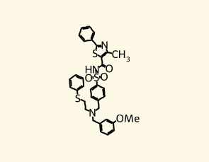 COc1cccc(CN(CCSc2ccccc2)Cc2ccc(S(=O)(=O)NC(=O)c3sc(-c4ccccc4)nc3C)cc2)c1